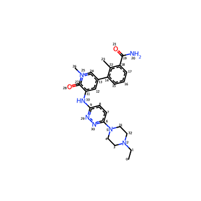 CCN1CCN(c2ccc(Nc3cc(-c4cccc(C(N)=O)c4C)cn(C)c3=O)nn2)CC1